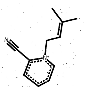 CC(C)=CC[n+]1ccccc1C#N